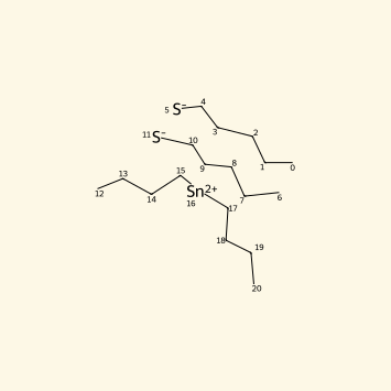 CCCCC[S-].CCCCC[S-].CCC[CH2][Sn+2][CH2]CCC